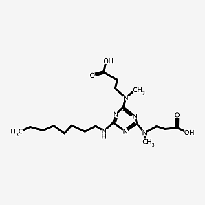 CCCCCCCCNc1nc(N(C)CCC(=O)O)nc(N(C)CCC(=O)O)n1